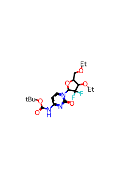 CCOCC1OC(n2ccc(NC(=O)OC(C)(C)C)nc2=O)C(F)(F)C1OCC